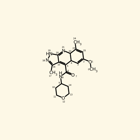 COC1=CC2C(C(=O)NC3CCOCC3)=c3c(C)n[nH]c3=NC2C(C)=C1